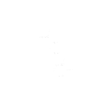 Cc1cccc[n+]1Cc1ccc([N+](=O)[O-])cc1